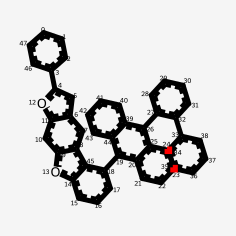 c1ccc(-c2cc3cc4c(cc3o2)oc2cccc(-c3c5ccccc5c(-c5ccccc5-c5ccccc5)c5ccccc35)c24)cc1